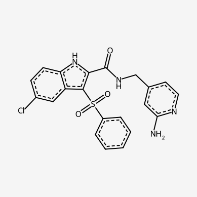 Nc1cc(CNC(=O)c2[nH]c3ccc(Cl)cc3c2S(=O)(=O)c2ccccc2)ccn1